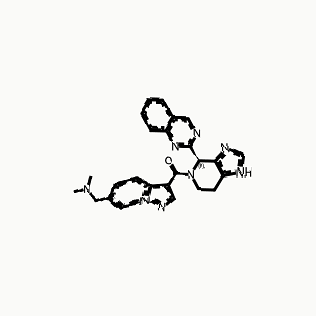 CN(C)Cc1ccc2c(C(=O)N3CCc4[nH]cnc4[C@@H]3c3ncc4ccccc4n3)cnn2c1